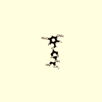 C=C(C=N)Nc1ncc(OCc2c(F)c(OC)cc(OC)c2F)cn1